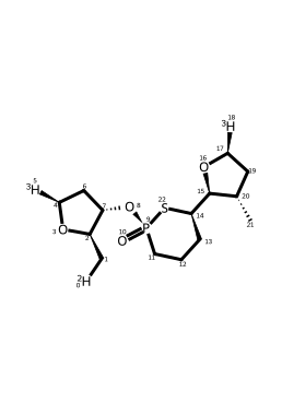 [2H]C[C@H]1O[C@@H]([3H])C[C@@H]1O[P@]1(=O)CCC[C@H]([C@H]2O[C@@H]([3H])C[C@@H]2C)S1